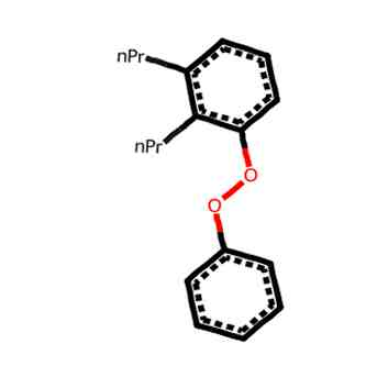 CCCc1cccc(OOc2ccccc2)c1CCC